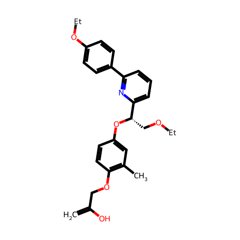 C=C(O)COc1ccc(O[C@@H](COCC)c2cccc(-c3ccc(OCC)cc3)n2)cc1C